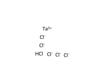 Cl.[Cl-].[Cl-].[Cl-].[Cl-].[Cl-].[Ta+5]